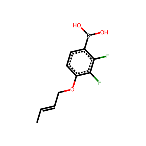 CC=CCOc1ccc(B(O)O)c(F)c1F